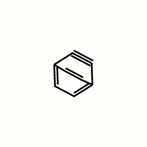 c1c2ccc(c#1)cc2